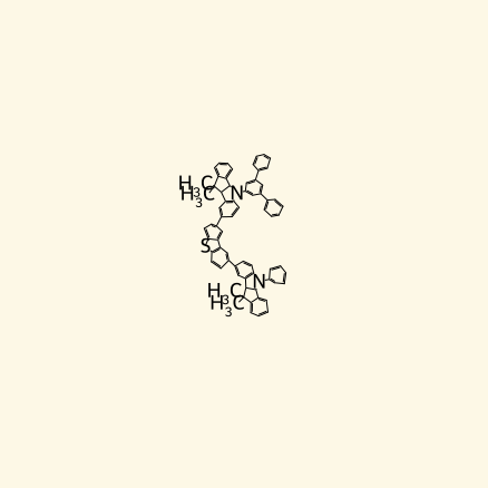 CC1(C)c2ccccc2C2C1c1cc(-c3ccc4sc5ccc(-c6ccc7c(c6)C6C(c8ccccc8C6(C)C)N7c6cc(-c7ccccc7)cc(-c7ccccc7)c6)cc5c4c3)ccc1N2c1ccccc1